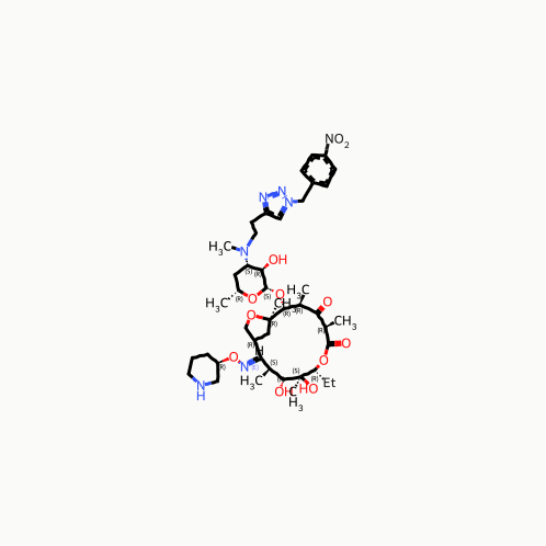 CC[C@H]1OC(=O)[C@H](C)C(=O)[C@H](C)[C@@H](O[C@@H]2O[C@H](C)C[C@H](N(C)CCc3cn(Cc4ccc([N+](=O)[O-])cc4)nn3)[C@H]2O)[C@@]2(C)C[C@@H](CO2)/C(=N\O[C@@H]2CCCNC2)[C@H](C)[C@@H](O)[C@]1(C)O